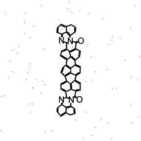 O=C1c2ccc3c4ccc5c6ccc7c8c(ccc(c9ccc(c%10ccc(c2c3%10)C2N=c3cccc%10c3=C(C=CC%10)N12)c4c59)c86)C1N=c2cccc3c2=C(C=CC3)N1C7=O